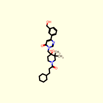 CC1(C)CN(C(=O)CCC2CCCCC2)CCC1(O)Cn1cnc(-c2cccc(CO)c2)cc1=O